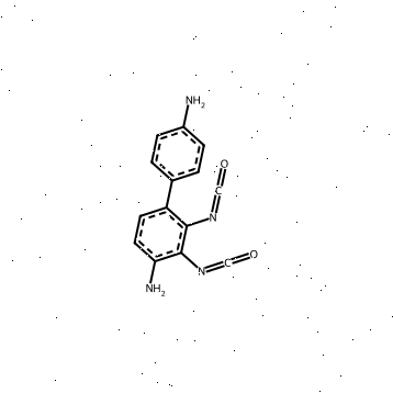 Nc1ccc(-c2ccc(N)c(N=C=O)c2N=C=O)cc1